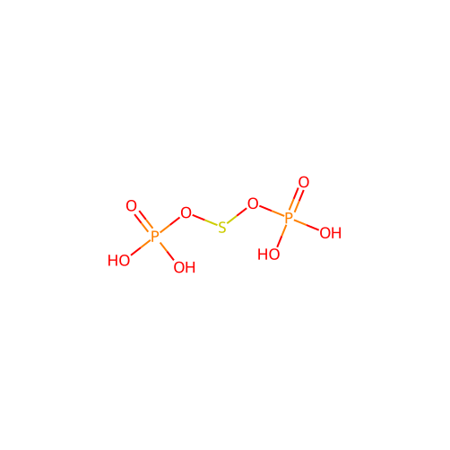 O=P(O)(O)OSOP(=O)(O)O